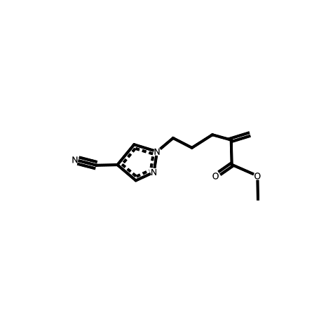 C=C(CCCn1cc(C#N)cn1)C(=O)OC